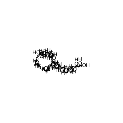 C=C1C[C@@H]2CC[C@]34OC5[C@@H]6O[C@H]7CC[C@H](CC(=O)C[C@@H]8[C@@H](C)[C@@H]9O[C@@H]%10C[C@]%11(C[C@@H]%12O[C@]%13(C[C@H](C)[C@@H]%14O[C@H]([C@@H](O)C[C@@H](O)CO)C[C@@H]%14O%13)C[C@H](C)[C@@H]%12O%11)O[C@@H]%10C[C@@H]9O[C@H]8C[C@H]8O[C@@H](CC[C@@H]1O2)C[C@@H](C)C8=C)O[C@@H]7[C@H](O3)[C@@H]6O[C@@]5(C)[C@H]4O